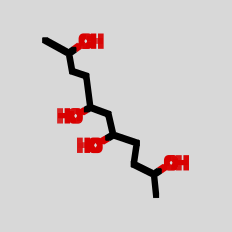 CC(O)CCC(O)CC(O)CCC(C)O